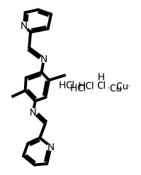 Cc1cc(N=Cc2ccccn2)c(C)cc1N=Cc1ccccn1.Cl.Cl.Cl.Cl.[Cu].[Cu]